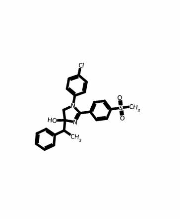 CC(c1ccccc1)C1(O)CN(c2ccc(Cl)cc2)C(c2ccc(S(C)(=O)=O)cc2)=N1